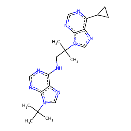 CC(C)(C)n1cnc2c(NCC(C)(C)n3cnc4c(C5CC5)ncnc43)ncnc21